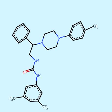 O=C(NCC(c1ccccc1)N1CCN(c2ccc(C(F)(F)F)cc2)CC1)Nc1cc(C(F)(F)F)cc(C(F)(F)F)c1